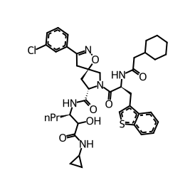 CCC[C@@H](NC(=O)[C@@H]1C[C@]2(CC(c3cccc(Cl)c3)=NO2)CN1C(=O)[C@H](Cc1csc2ccccc12)NC(=O)CC1CCCCC1)C(O)C(=O)NC1CC1